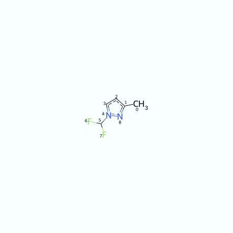 Cc1ccn(C(F)F)n1